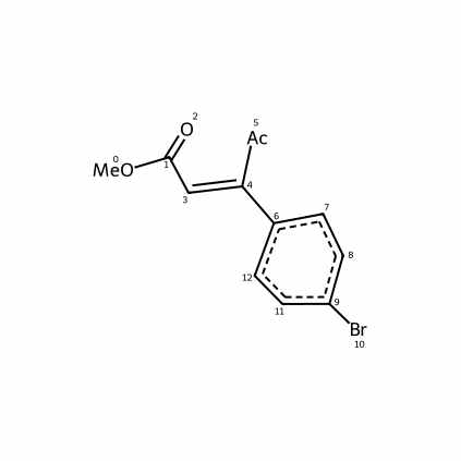 COC(=O)C=C(C(C)=O)c1ccc(Br)cc1